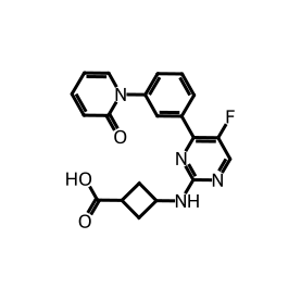 O=C(O)C1CC(Nc2ncc(F)c(-c3cccc(-n4ccccc4=O)c3)n2)C1